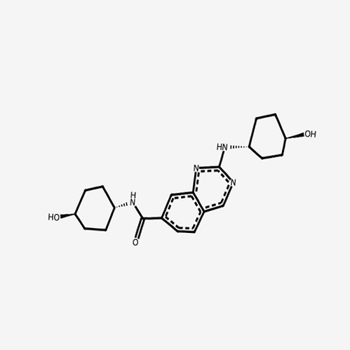 O=C(N[C@H]1CC[C@H](O)CC1)c1ccc2cnc(N[C@H]3CC[C@H](O)CC3)nc2c1